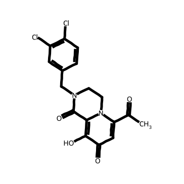 CC(=O)c1cc(=O)c(O)c2n1CCN(Cc1ccc(Cl)c(Cl)c1)C2=O